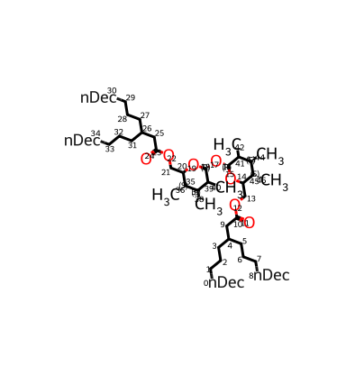 CCCCCCCCCCCCCC(CCCCCCCCCCCCC)CC(=O)OCC1O[C@H](O[C@H]2OC(COC(=O)CC(CCCCCCCCCCCCC)CCCCCCCCCCCCC)[C@@H](C)[C@H](C)C2C)C(C)[C@@H](C)[C@@H]1C